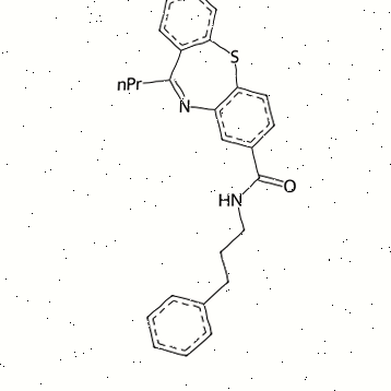 CCCC1=Nc2cc(C(=O)NCCCc3ccccc3)ccc2Sc2ccccc21